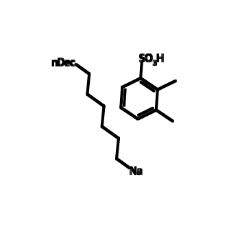 CCCCCCCCCCCCCCC[CH2][Na].Cc1cccc(S(=O)(=O)O)c1C